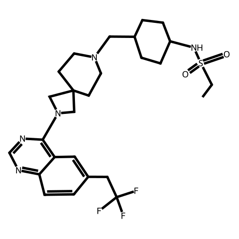 CCS(=O)(=O)NC1CCC(CN2CCC3(CC2)CN(c2ncnc4ccc(CC(F)(F)F)cc24)C3)CC1